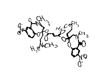 CN(C)CCC1(OC(=O)/C=C/C(=O)OC2(CCN(C)C)CN(C)C(=O)c3cc([N+](=O)[O-])ccc3O2)CN(C)C(=O)c2cc([N+](=O)[O-])ccc2O1